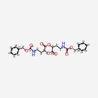 O=C(NCCC1OC(=O)C(CCNC(=O)OCc2ccccc2)OC1=O)OCc1ccccc1